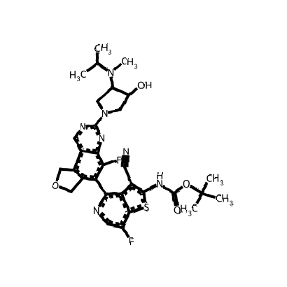 CC(C)N(C)C1CN(c2ncc3c4c(c(-c5ncc(F)c6sc(NC(=O)OC(C)(C)C)c(C#N)c56)c(F)c3n2)COC4)CC1O